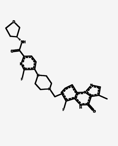 Cc1cnn2c1c(=O)[nH]c1c(F)c(CN3CCN(c4ccc(C(=O)N[C@@H]5CCOC5)nc4F)CC3)ccc12